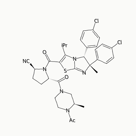 CC(=O)N1CCN(C(=O)[C@@H]2CC[C@@H](C#N)N2C(=O)C2=C(C(C)C)N3C(=N[C@@](C)(c4ccc(Cl)cc4)[C@H]3c3ccc(Cl)cc3)S2)C[C@H]1C